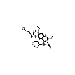 CCOc1cc2nc(CC)c(C#N)c(NC3CCOCC3)c2cc1NC(=O)/C=C/CCl